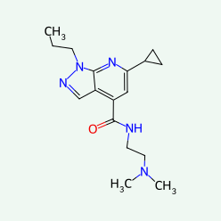 CCCn1ncc2c(C(=O)NCCN(C)C)cc(C3CC3)nc21